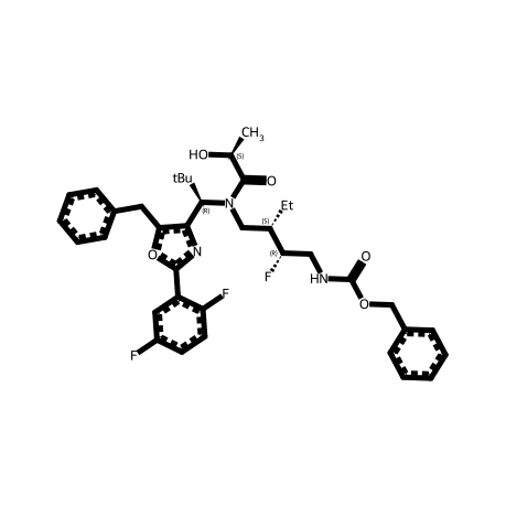 CC[C@@H](CN(C(=O)[C@H](C)O)[C@@H](c1nc(-c2cc(F)ccc2F)oc1Cc1ccccc1)C(C)(C)C)[C@@H](F)CNC(=O)OCc1ccccc1